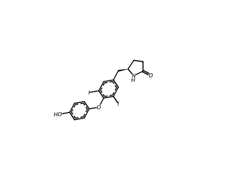 O=C1CC[C@H](Cc2cc(I)c(Oc3ccc(O)cc3)c(I)c2)N1